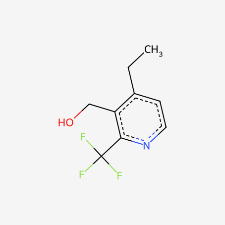 CCc1ccnc(C(F)(F)F)c1CO